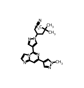 Cn1cc(-c2cc3nccn3c(-c3cnn(C(CC#N)CC(C)(C)C)c3)n2)cn1